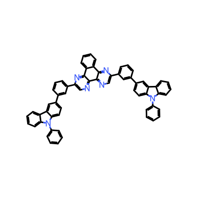 c1ccc(-n2c3ccccc3c3cc(-c4cccc(-c5cnc6c(n5)c5ccccc5c5nc(-c7cccc(-c8ccc9c(c8)c8ccccc8n9-c8ccccc8)c7)cnc56)c4)ccc32)cc1